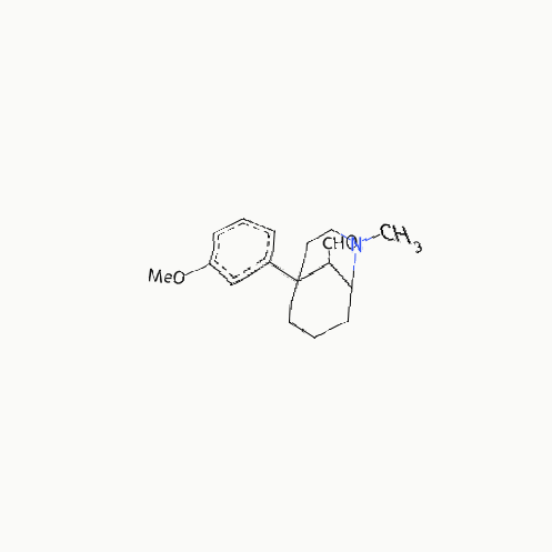 COc1cccc(C23CCCC(C2C=O)N(C)CC3)c1